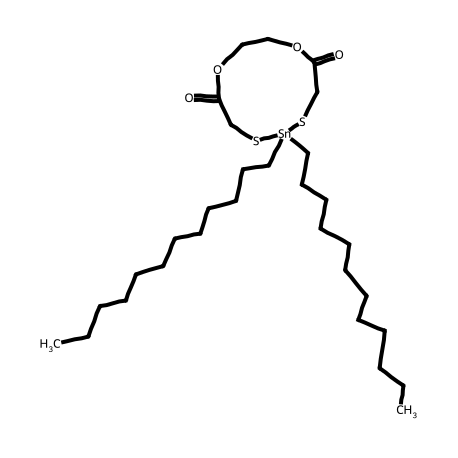 CCCCCCCCCCC[CH2][Sn]1([CH2]CCCCCCCCCCC)[S]CC(=O)OCCOC(=O)C[S]1